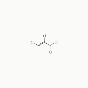 ClC=C(Cl)C(Cl)Cl